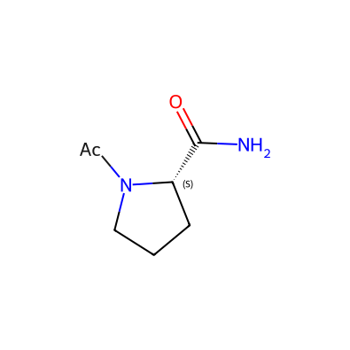 CC(=O)N1CCC[C@H]1C(N)=O